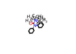 C[Si](C)(C)N(C(=O)N(c1ccccc1)c1ccccc1)[Si](C)(C)C